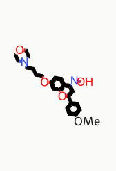 COc1ccc(-c2cc(=NO)c3ccc(OCCCCN4CCOCC4)cc3o2)cc1